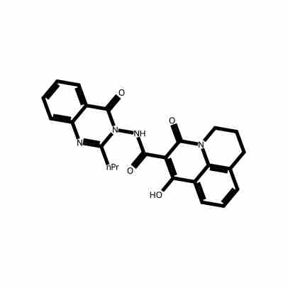 CCCc1nc2ccccc2c(=O)n1NC(=O)c1c(O)c2cccc3c2n(c1=O)CCC3